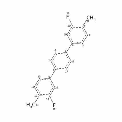 Cc1ccc(-c2ccc(-c3ccc(C)c(F)c3)cc2)cc1F